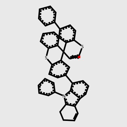 C1=Cc2c(n(-c3ccccc3)c3c(-c4ccc5c(c4)C4(c6ccccc6Sc6ccc(-c7ccccc7)cc64)c4ccccc4S5)cccc23)CC1